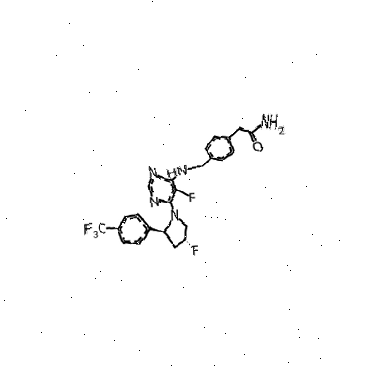 NC(=O)Cc1ccc(CNc2ncnc(N3C[C@H](F)C[C@H]3c3ccc(C(F)(F)F)cc3)c2F)cc1